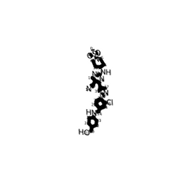 CS(=O)(=O)N1CCC(Nc2ncc(C#N)c(-c3cnn(-c4ccc(CNC5CCC(CO)CC5)cc4Cl)c3)n2)CC1